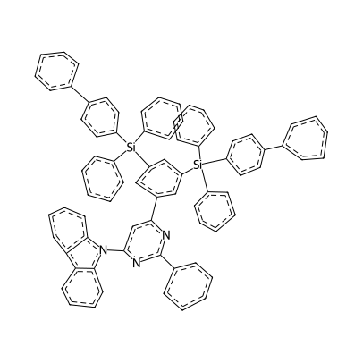 c1ccc(-c2ccc([Si](c3ccccc3)(c3ccccc3)c3cc(-c4cc(-n5c6ccccc6c6ccccc65)nc(-c5ccccc5)n4)cc([Si](c4ccccc4)(c4ccccc4)c4ccc(-c5ccccc5)cc4)c3)cc2)cc1